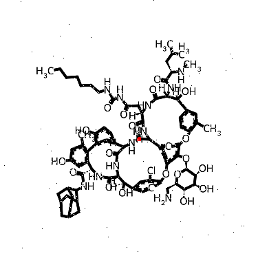 CCCCCCCNC(=O)NC(=O)C[C@@H]1NC(=O)[C@H](NC(=O)[C@@H](CC(C)C)NC)[C@H](O)c2ccc(c(C)c2)Oc2cc3cc(c2O[C@@H]2O[C@H](CN)[C@@H](O)[C@H](O)[C@H]2O)Oc2ccc(cc2Cl)[C@@H](O)[C@@H]2NC(=O)[C@H](NC(=O)[C@@H]3NC1=O)c1ccc(O)c(c1)-c1c(C)cc(O)cc1[C@@H](C(=O)NC1C3CC4CC(C3)CC1C4)NC2=O